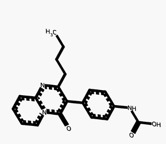 CCCCc1nc2ccccn2c(=O)c1-c1ccc(NC(=O)O)cc1